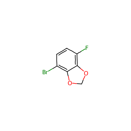 Fc1ccc(Br)c2c1OCO2